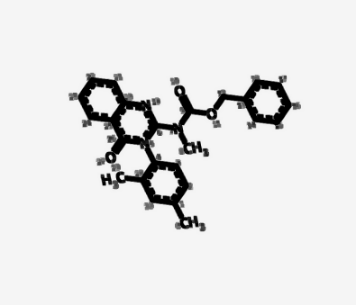 Cc1ccc(-n2c(N(C)C(=O)OCc3ccccc3)nc3ccccc3c2=O)c(C)c1